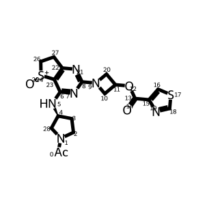 CC(=O)N1CC[C@H](Nc2nc(N3CC(OC(=O)c4cscn4)C3)nc3c2[S@+]([O-])CC3)C1